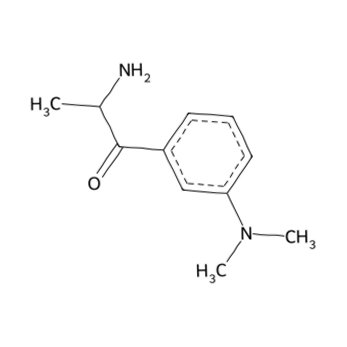 CC(N)C(=O)c1cccc(N(C)C)c1